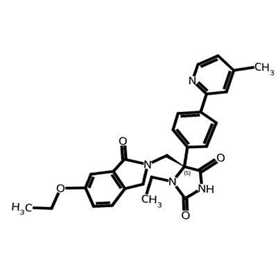 CCOc1ccc2c(c1)C(=O)N(C[C@@]1(c3ccc(-c4cc(C)ccn4)cc3)C(=O)NC(=O)N1CC)C2